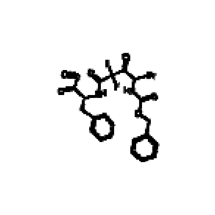 COC(=O)[C@H](Cc1ccccc1)NC(=O)C(F)(F)C(=O)C(NC(=O)OCc1ccccc1)C(C)C